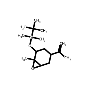 C=C(C)C1CC2OC2(C)C(O[Si](C)(C)C(C)(C)C)C1